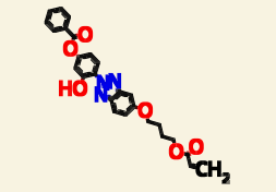 C=CC(=O)OCCCCOc1ccc2nn(-c3ccc(OC(=O)c4ccccc4)cc3O)nc2c1